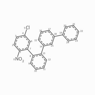 O=[N+]([O-])c1ccc(Cl)cc1-c1ccccc1-c1cccc(-c2ccccc2)c1